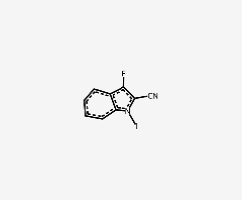 N#Cc1c(F)c2ccccc2n1I